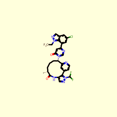 C[C@@H]1CCC[C@H](n2cnc(-c3cc(Cl)cc4cnn(CC(F)(F)F)c34)cc2=O)c2cc(ccn2)-c2c(cnn2C(F)F)NC1=O